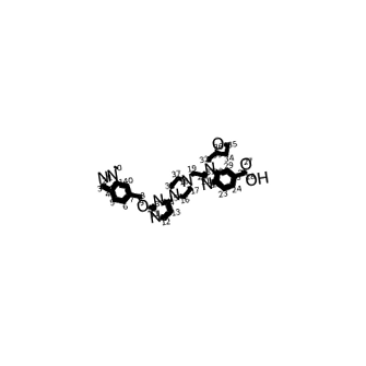 Cn1ncc2ccc(COc3nccc(N4CCN(Cc5nc6ccc(C(=O)O)cc6n5CC5CCO5)CC4)n3)cc21